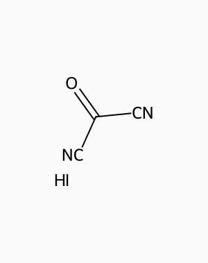 I.N#CC(=O)C#N